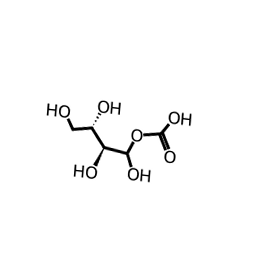 O=C(O)OC(O)[C@@H](O)[C@@H](O)CO